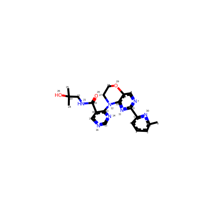 Cc1cccc(-c2ncc3c(n2)N(c2ncncc2C(=O)NCC(C)(C)O)CCO3)n1